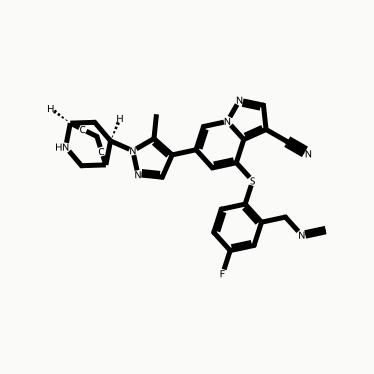 C=NCc1cc(F)ccc1Sc1cc(-c2cnn([C@@H]3C[C@H]4CCCC3CN4)c2C)cn2ncc(C#N)c12